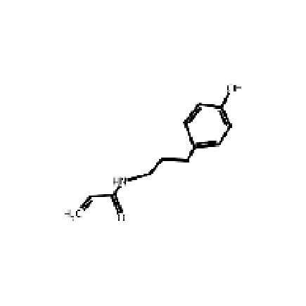 C=CC(=O)NCCCc1ccc(O)cc1